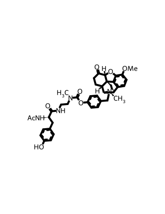 COc1ccc2c3c1O[C@H]1C(=O)CC[C@H]4C(C2)[N@@+](C)(Cc2ccc(OC(=O)N(C)CCNC(=O)[C@H](Cc5ccc(O)cc5)NC(C)=O)cc2)CC[C@]314